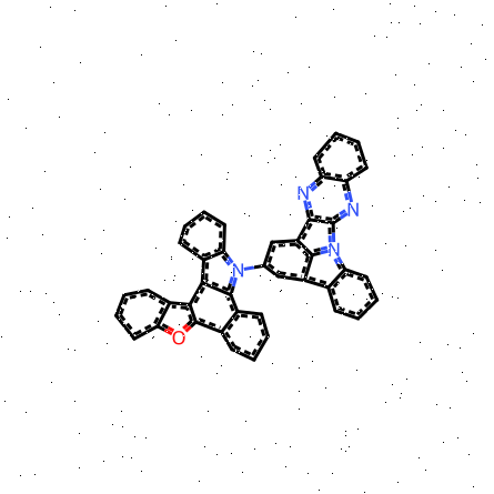 c1ccc2nc3c(nc2c1)c1cc(-n2c4ccccc4c4c5c6ccccc6oc5c5ccccc5c42)cc2c4ccccc4n3c21